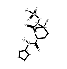 NN(C(=O)[C@@H]1CC[C@@H]2CN1C(=O)N2OS(=O)(=O)O)C1CCCC1